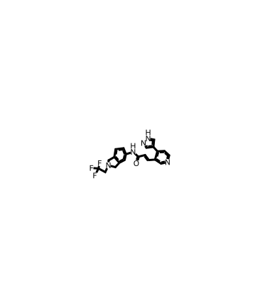 O=C(C=Cc1cnccc1-c1cn[nH]c1)Nc1ccc2c(c1)CN(CC(F)(F)F)C2